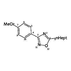 CCCCCCCc1nc(-c2ccc(OC)cc2)no1